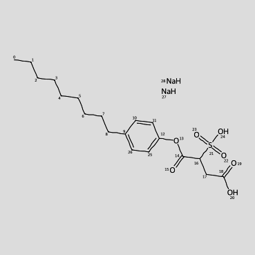 CCCCCCCCCc1ccc(OC(=O)C(CC(=O)O)S(=O)(=O)O)cc1.[NaH].[NaH]